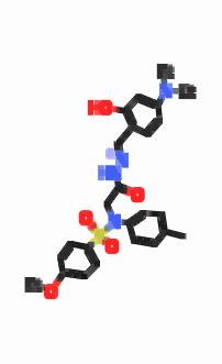 CCOc1ccc(S(=O)(=O)N(CC(=O)N/N=C/c2ccc(N(CC)CC)cc2O)c2ccc(C)cc2)cc1